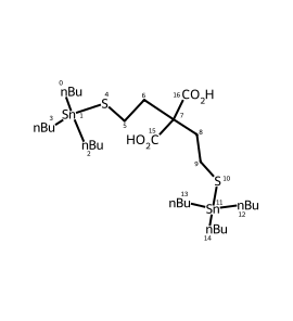 CCC[CH2][Sn]([CH2]CCC)([CH2]CCC)[S]CCC(CC[S][Sn]([CH2]CCC)([CH2]CCC)[CH2]CCC)(C(=O)O)C(=O)O